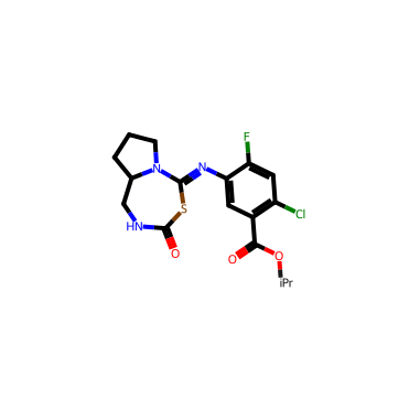 CC(C)OC(=O)c1cc(N=C2SC(=O)NCC3CCCN23)c(F)cc1Cl